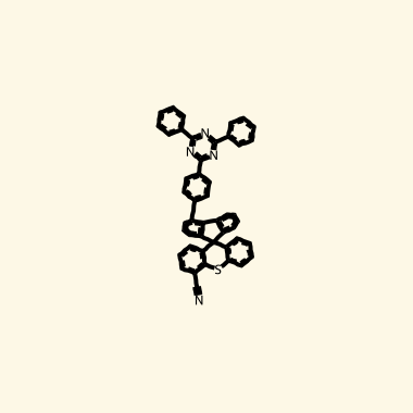 N#Cc1cccc2c1Sc1ccccc1C21c2ccccc2-c2c(-c3ccc(-c4nc(-c5ccccc5)nc(-c5ccccc5)n4)cc3)cccc21